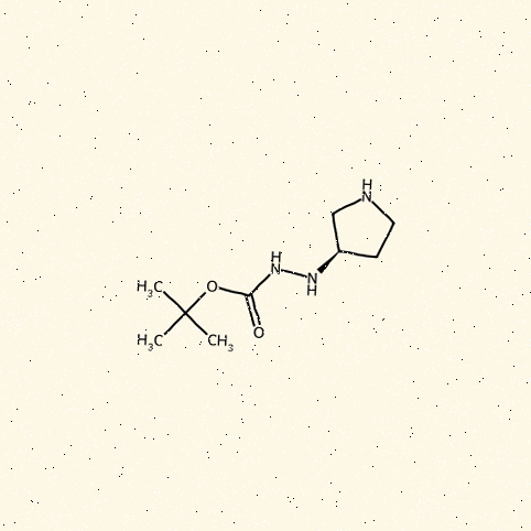 CC(C)(C)OC(=O)NN[C@@H]1CCNC1